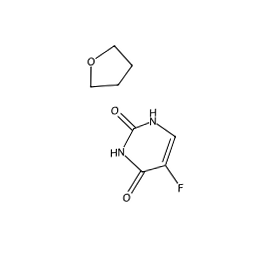 C1CCOC1.O=c1[nH]cc(F)c(=O)[nH]1